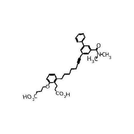 CN(C)C(=O)c1cc(C#CCCCCCc2cccc(OCCCC(=O)O)c2CCC(=O)O)cc(-c2ccccc2)c1